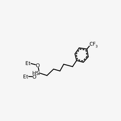 CCO[SiH](CCCCCc1ccc(C(F)(F)F)cc1)OCC